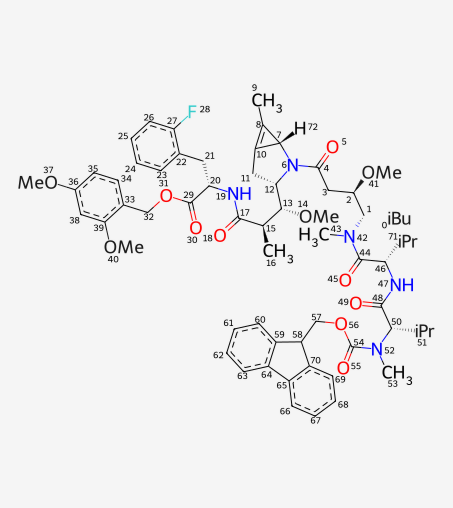 CC[C@H](C)[C@@H]([C@@H](CC(=O)N1[C@H]2C(C)=C2C[C@H]1[C@H](OC)[C@@H](C)C(=O)N[C@@H](Cc1ccccc1F)C(=O)OCc1ccc(OC)cc1OC)OC)N(C)C(=O)[C@@H](NC(=O)[C@H](C(C)C)N(C)C(=O)OCC1c2ccccc2-c2ccccc21)C(C)C